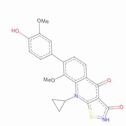 COc1cc(-c2ccc3c(=O)c4c(=O)[nH]sc4n(C4CC4)c3c2OC)ccc1O